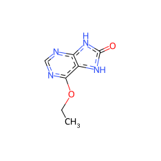 CCOc1ncnc2[nH]c(=O)[nH]c12